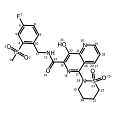 CS(=O)(=O)c1cc(F)ccc1CNC(=O)c1nc(N2CCCCS2(=O)=O)c2cccnc2c1O